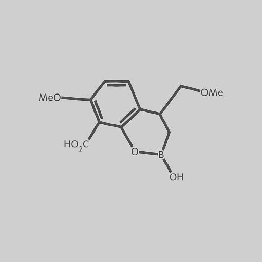 COCC1CB(O)Oc2c1ccc(OC)c2C(=O)O